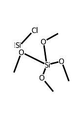 CO[Si](OC)(OC)OC.[Si]Cl